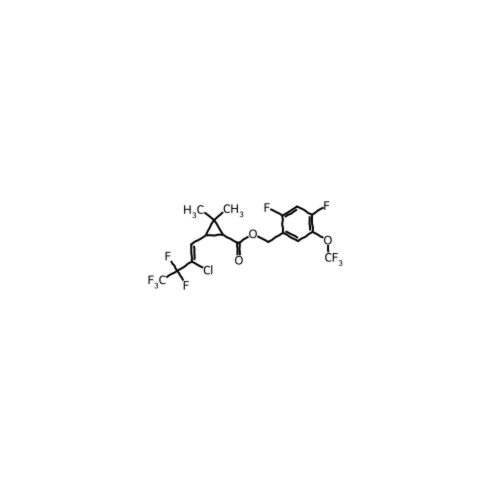 CC1(C)C(C=C(Cl)C(F)(F)C(F)(F)F)C1C(=O)OCc1cc(OC(F)(F)F)c(F)cc1F